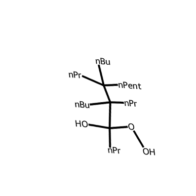 CCCCCC(CCC)(CCCC)C(CCC)(CCCC)C(O)(CCC)OO